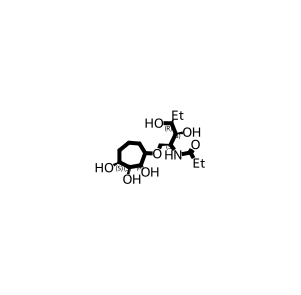 CCC(=O)N[C@@H](COC1CCC[C@H](O)[C@H](O)[C@H]1O)[C@H](O)[C@H](O)CC